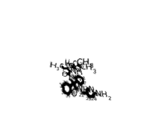 CC[C@H](C)[C@@H](NC(=O)OC(C)(C)C)C(=O)NCC(C(=O)NCc1ccc(N)nc1)(C1CCCCC1)C1CCCCC1